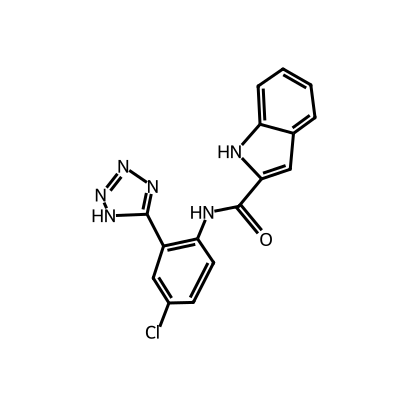 O=C(Nc1ccc(Cl)cc1-c1nnn[nH]1)c1cc2ccccc2[nH]1